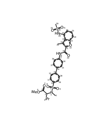 COC(=O)C(C(C)C)N(C)S(=O)(=O)c1ccc(-c2ccc(NC(=O)c3oc4cccc(NS(C)(=O)=O)c4c3C)cc2)cc1